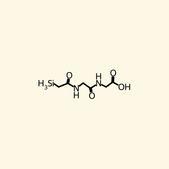 O=C(O)CNC(=O)CNC(=O)C[SiH3]